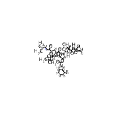 C=C[C@@H]1C[C@]1(NC(=O)[C@@H]1C[C@@H](OC(=O)N2Cc3cccc(F)c3C2)CN1C(=O)[C@H](CCC(=O)/C=C/C(C)C)NC(=O)OC(C)(C)C)C(=O)NS(=O)(=O)C1CC1